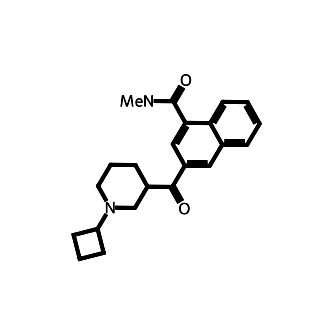 CNC(=O)c1cc(C(=O)C2CCCN(C3CCC3)C2)cc2ccccc12